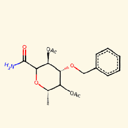 CC(=O)OC1[C@H](C)OC(C(N)=O)[C@@H](OC(C)=O)[C@@H]1OCc1ccccc1